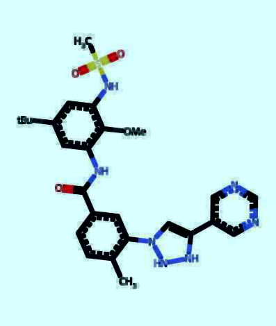 COc1c(NC(=O)c2ccc(C)c(N3C=C(c4cncnc4)NN3)c2)cc(C(C)(C)C)cc1NS(C)(=O)=O